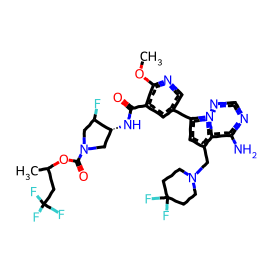 COc1ncc(-c2cc(CN3CCC(F)(F)CC3)c3c(N)ncnn23)cc1C(=O)N[C@@H]1CN(C(=O)OC(C)CC(F)(F)F)CC1F